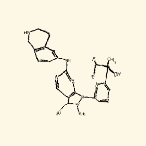 CCN1C(O)c2cnc(Nc3ccc4c(c3)CCNC4)nc2N1c1cccc(C(C)(O)C(F)F)n1